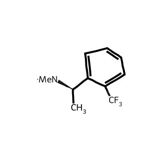 C[N][C@H](C)c1ccccc1C(F)(F)F